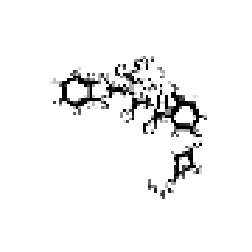 CN1CC(Oc2ccc(Cl)c(C(=O)NC(=O)N(c3nc4ccccc4s3)S(C)(=O)=O)c2)C1